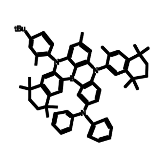 Cc1cc2c3c(c1)N(c1ccc(C(C)(C)C)cc1C)c1cc4c(cc1B3c1cc(N(c3ccccc3)c3ccccc3)ccc1N2c1cc2c(cc1C)C(C)(C)CCC2(C)C)C(C)(C)CCC4(C)C